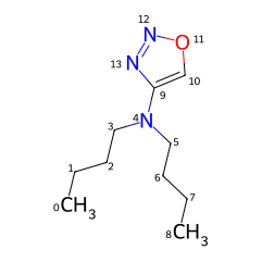 CCCCN(CCCC)c1conn1